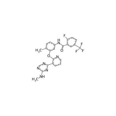 CNc1ncnc(-c2cccnc2Oc2cc(NC(=O)c3cc(C(F)(F)F)ccc3F)ccc2C)n1